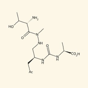 CC(=O)C[C@@H](CNN(C)C(=O)[C@@H](N)C(C)O)NC(=O)N[C@@H](C)C(=O)O